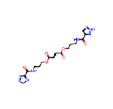 O=C(/C=C/C(=O)OCCCNC(=O)c1cn[nH]n1)OCCCNC(=O)C1=NCN=N1